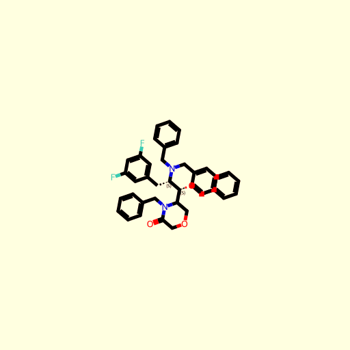 O=C1COCC([C@@H](OCc2ccccc2)[C@H](Cc2cc(F)cc(F)c2)N(Cc2ccccc2)Cc2ccccc2)N1Cc1ccccc1